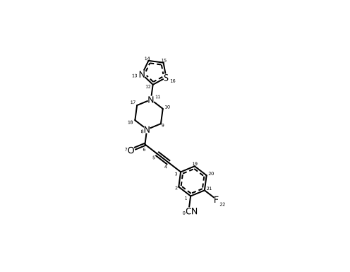 N#Cc1cc(C#CC(=O)N2CCN(c3nccs3)CC2)ccc1F